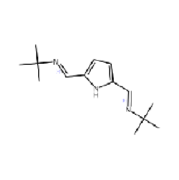 CC(C)(C)/N=C/c1ccc(/C=N/C(C)(C)C)[nH]1